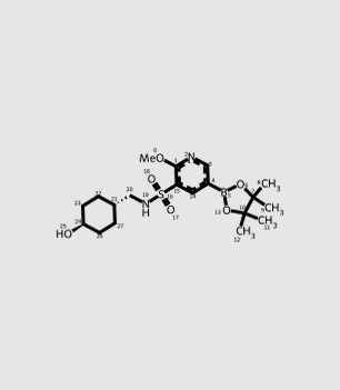 COc1ncc(B2OC(C)(C)C(C)(C)O2)cc1S(=O)(=O)NC[C@H]1CC[C@H](O)CC1